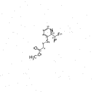 COC(=O)CCSc1cccnc1C(F)F